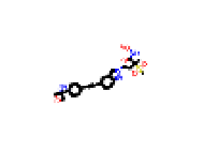 CC(CCn1cc2cc(C#Cc3ccc(C4(N)COC4)cc3)ccc2n1)(C(=O)NO)S(C)(=O)=O